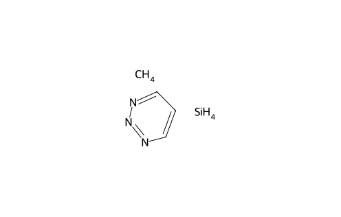 C.[SiH4].c1cnnnc1